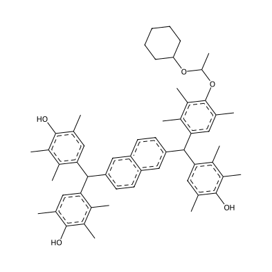 Cc1cc(C(c2ccc3cc(C(c4cc(C)c(O)c(C)c4C)c4cc(C)c(OC(C)OC5CCCCC5)c(C)c4C)ccc3c2)c2cc(C)c(O)c(C)c2C)c(C)c(C)c1O